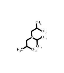 CC(C)CP(CC(C)C)C(C)C